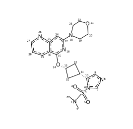 CN(C)S(=O)(=O)n1cncc1[C@H]1C[C@@H](Oc2nc(N3CCOCC3)cc3ncccc23)C1